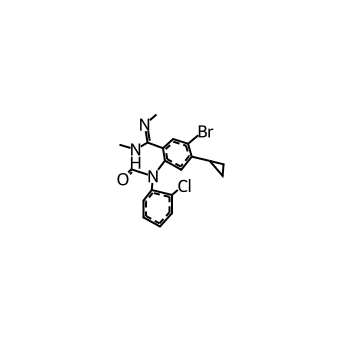 C/N=C(/NC)c1cc(Br)c(C2CC2)cc1N(C=O)c1ccccc1Cl